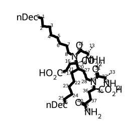 CCCCCCCCCCCCCCCCCCN(C(=O)[C@H](C)N)[C@@](CCC(=O)O)(C(=O)O)C(CCCCCCCCCCCCCCC)CCN(C(=O)[C@H](C)N)[C@H](CCC(N)=O)C(=O)O